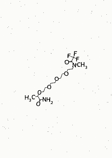 CC(OCCOCCOCCOCCN(C)C(=O)C(F)(F)F)C(N)=O